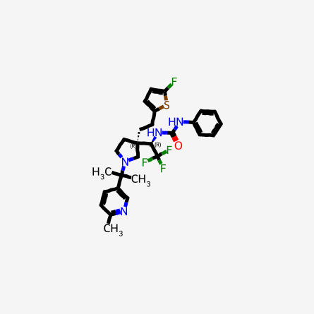 Cc1ccc(C(C)(C)N2CC[C@@](CCc3ccc(F)s3)([C@@H](NC(=O)Nc3ccccc3)C(F)(F)F)C2)cn1